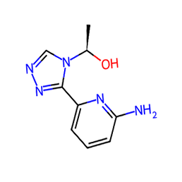 C[C@@H](O)n1cnnc1-c1cccc(N)n1